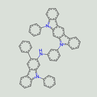 c1ccc(-c2cc3c4ccccc4n(-c4ccccc4)c3cc2Nc2cccc(-n3c4ccccc4c4cc5c6ccccc6n(-c6ccccc6)c5cc43)c2)cc1